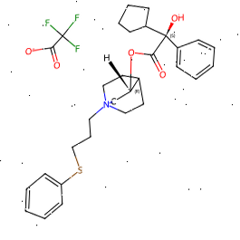 O=C(O[C@H]1C[N+]2(CCCSc3ccccc3)CCC1CC2)[C@@](O)(c1ccccc1)C1CCCC1.O=C([O-])C(F)(F)F